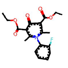 CCOC(=O)c1c(C)n(-c2ccccc2F)c(C)c(C(=O)OCC)c1=O